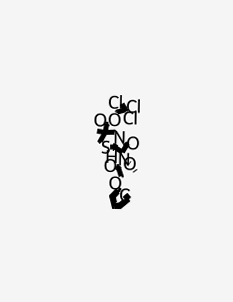 CON(C(=O)COc1ccccc1)C1C(=O)N2CC(C)(C(=O)OCC(Cl)(Cl)Cl)CS[C@H]12